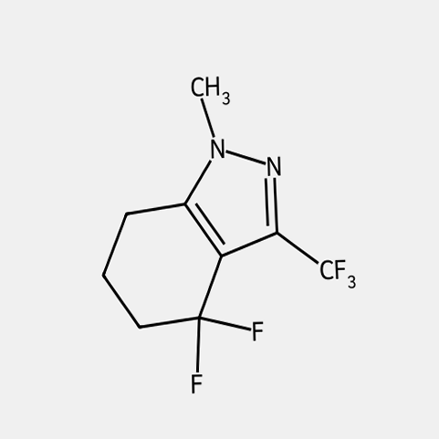 Cn1nc(C(F)(F)F)c2c1CCCC2(F)F